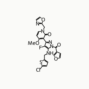 COc1ccn(Cc2ncco2)c(=O)c1-c1nn(C(=O)c2ccoc2)c(NCc2ccc(Cl)s2)c1F